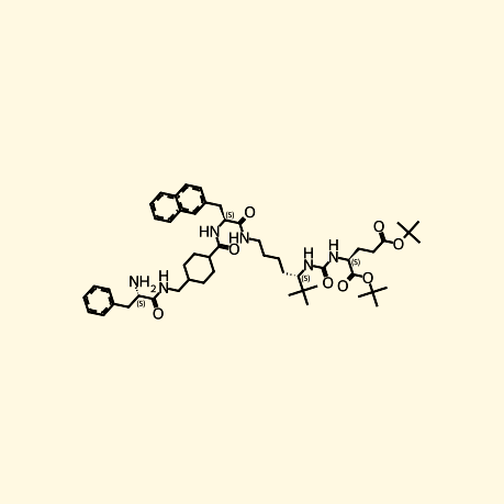 CC(C)(C)OC(=O)CC[C@H](NC(=O)N[C@@H](CCCCNC(=O)[C@H](Cc1ccc2ccccc2c1)NC(=O)C1CCC(CNC(=O)[C@@H](N)Cc2ccccc2)CC1)C(C)(C)C)C(=O)OC(C)(C)C